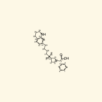 O=C(O)[C@H](c1ccccc1)N1CC[C@@H](C(F)(F)CCCCc2ccc3c(n2)NCCC3)C1